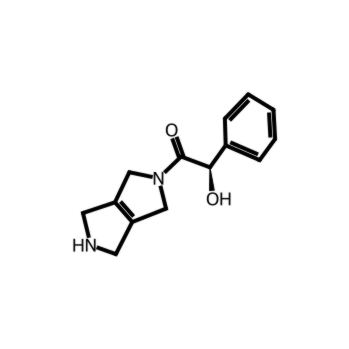 O=C([C@H](O)c1ccccc1)N1CC2=C(CNC2)C1